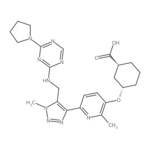 Cc1nc(-c2nnn(C)c2CNc2ncnc(N3CCCC3)n2)ccc1O[C@H]1CCC[C@H](C(=O)O)C1